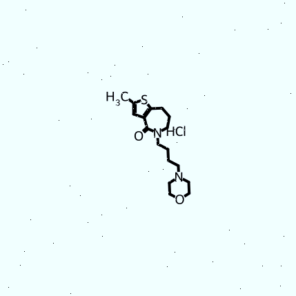 Cc1cc2c(s1)CCCN(CCCCN1CCOCC1)C2=O.Cl